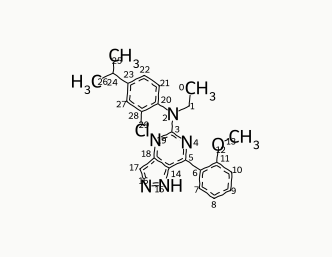 CCN(c1nc(-c2ccccc2OC)c2[nH]ncc2n1)c1ccc(C(C)C)cc1Cl